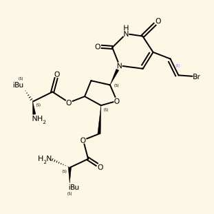 CC[C@H](C)[C@H](N)C(=O)OC[C@@H]1O[C@H](n2cc(/C=C/Br)c(=O)[nH]c2=O)CC1OC(=O)[C@@H](N)[C@@H](C)CC